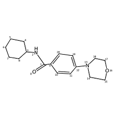 O=C(NC1CCCCC1)c1ccc(N2CCOCC2)cc1